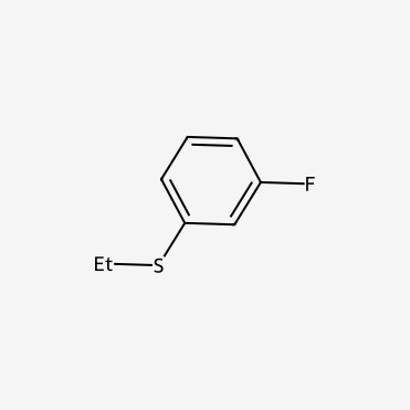 CCSc1cccc(F)c1